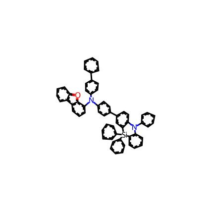 c1ccc(-c2ccc(N(c3ccc(-c4ccc5c(c4)[Si](c4ccccc4)(c4ccccc4)c4ccccc4N5c4ccccc4)cc3)c3cccc4c3oc3ccccc34)cc2)cc1